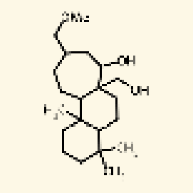 COCC1CCC2C3(C)CCCC(C)(C)C3CCC2(CO)C(O)C1